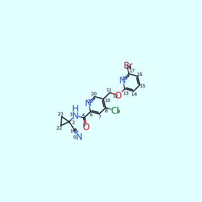 N#CC1(NC(=O)c2cc(Cl)c(COc3cccc(Br)n3)cn2)CC1